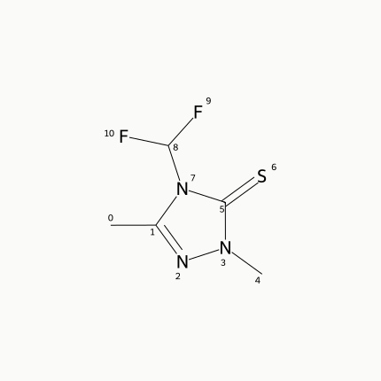 Cc1nn(C)c(=S)n1C(F)F